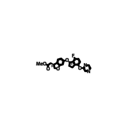 COC(=O)C[C@@H]1COc2cc(O[C@@H]3CCc4c(Oc5cnccn5)ccc(F)c43)ccc21